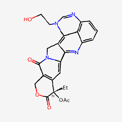 CC[C@@]1(OC(C)=O)C(=O)OCc2c1cc1n(c2=O)Cc2c-1nc1cccc3c1c2N(CCO)C=N3